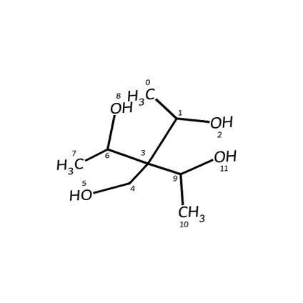 CC(O)C(CO)(C(C)O)C(C)O